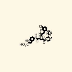 CN1CCN(C(=O)CCC(NC(=O)C=Cc2c(-n3cnnn3)ccc(Cl)c2F)C(=O)Nc2ccc3[nH]c(C(=O)O)cc3c2)CC1